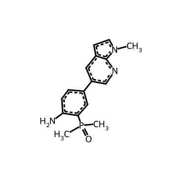 Cn1ccc2cc(-c3ccc(N)c(P(C)(C)=O)c3)cnc21